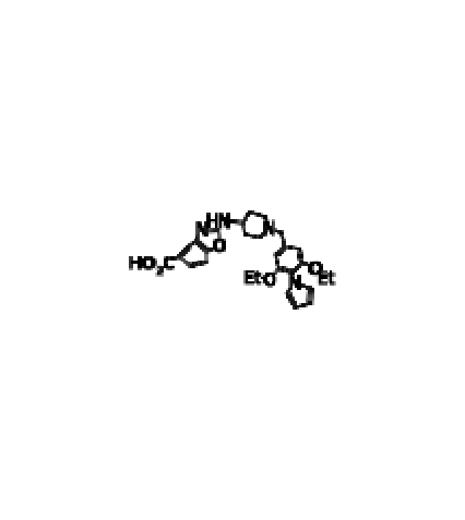 CCOc1cc(CN2CCC(Nc3nc4cc(C(=O)O)ccc4o3)CC2)cc(OCC)c1-n1cccc1